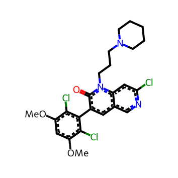 COc1cc(OC)c(Cl)c(-c2cc3cnc(Cl)cc3n(CCCN3CCCCC3)c2=O)c1Cl